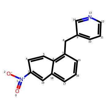 O=[N+]([O-])c1ccc2c(Cc3cccnc3)cccc2c1